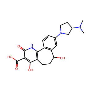 CN(C)C1CCN(c2ccc3c(c2)C(O)CCc2c-3[nH]c(=O)c(C(=O)O)c2O)C1